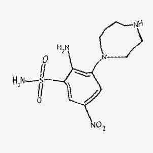 Nc1c(N2CCNCC2)cc([N+](=O)[O-])cc1S(N)(=O)=O